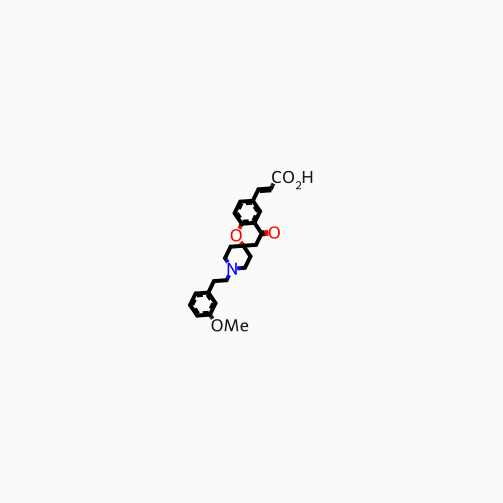 COc1cccc(CCN2CCC3(CC2)CC(=O)c2cc(C=CC(=O)O)ccc2O3)c1